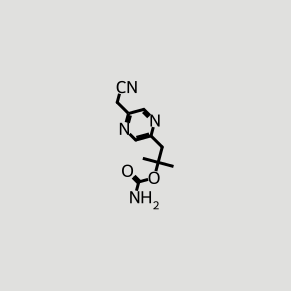 CC(C)(Cc1cnc(CC#N)cn1)OC(N)=O